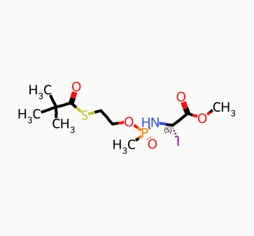 COC(=O)[C@H](I)NP(C)(=O)OCCSC(=O)C(C)(C)C